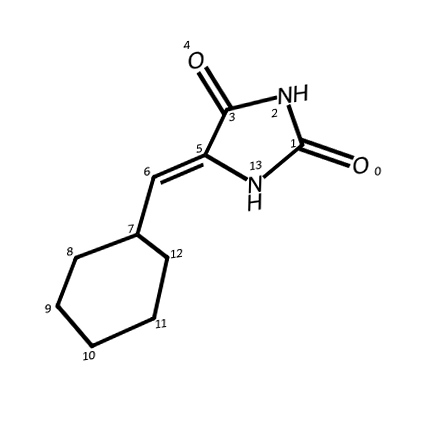 O=C1NC(=O)C(=CC2CCCCC2)N1